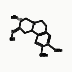 CCCC[C@@H]1CN2CCc3cc(OC)c(OC)cc3C2CC1=NO